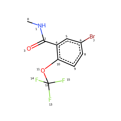 CNC(=O)c1cc(Br)ccc1OC(F)(F)F